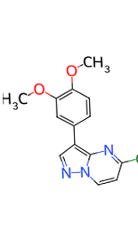 COc1ccc(-c2cnn3ccc(Cl)nc23)cc1OC